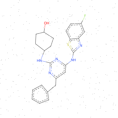 OC1CCC(Nc2nc(Cc3ccccc3)cc(Nc3nc4cc(F)ccc4s3)n2)CC1